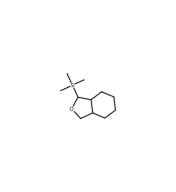 C[Si](C)(C)C1OCC2CCCCC21